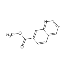 COC(=O)c1ccc2c[c]cnc2c1